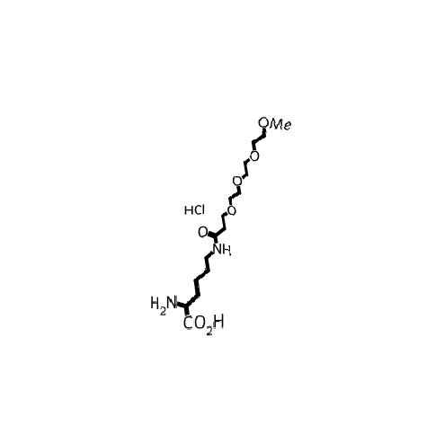 COCCOCCOCCOCCC(=O)NCCCCC(N)C(=O)O.Cl